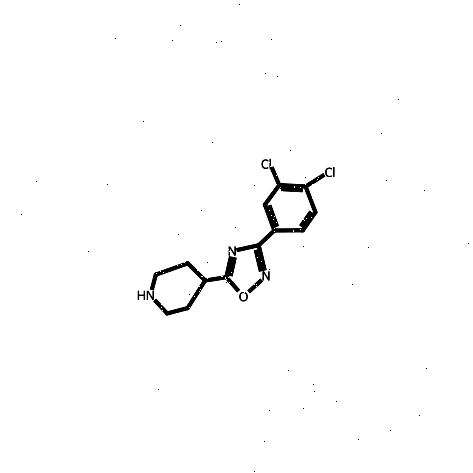 Clc1ccc(-c2noc(C3CCNCC3)n2)cc1Cl